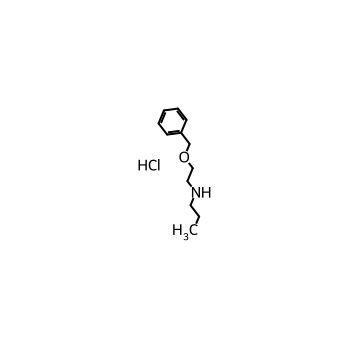 CCCNCCOCc1ccccc1.Cl